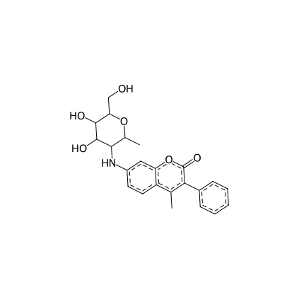 Cc1c(-c2ccccc2)c(=O)oc2cc(NC3C(C)OC(CO)C(O)C3O)ccc12